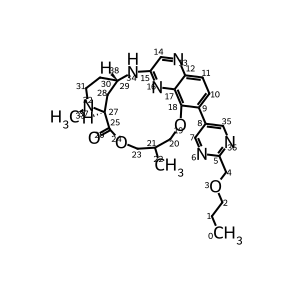 CCCOCc1ncc(-c2ccc3ncc4nc3c2OCC(C)COC(=O)[C@@H]2C[C@H](CCN2C)N4)cn1